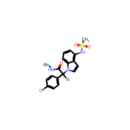 CCC(C(=O)NC(C)(C)C)(c1ccc(Cl)cc1)n1ccc2c(NS(C)(=O)=O)cccc21